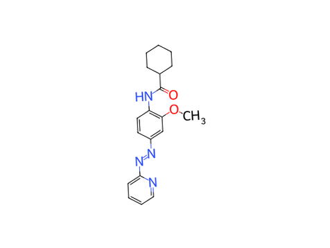 COc1cc(N=Nc2ccccn2)ccc1NC(=O)C1CCCCC1